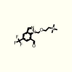 C[Si](C)(C)CCOCn1ncc2cc(C(F)(F)F)cc(C=O)c21